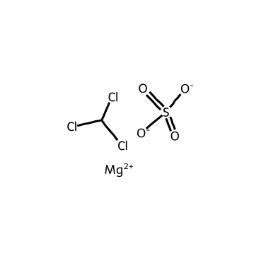 ClC(Cl)Cl.O=S(=O)([O-])[O-].[Mg+2]